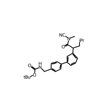 CC(C)CC(C(=O)N(C)C#N)c1cccc(-c2ccc(CNC(=O)OC(C)(C)C)cc2)c1